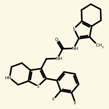 Cc1c(NC(=O)NCc2c(-c3cccc(F)c3F)sc3c2CCNC3)sc2c1CCCC2